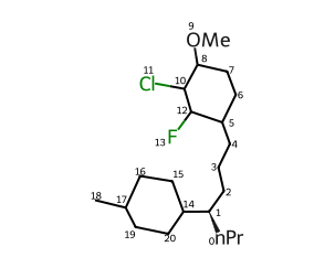 CCC[C@H](CCCC1CCC(OC)C(Cl)C1F)C1CCC(C)CC1